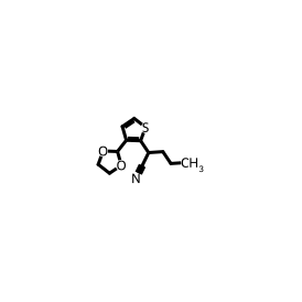 CCCC(C#N)c1sccc1C1OCCO1